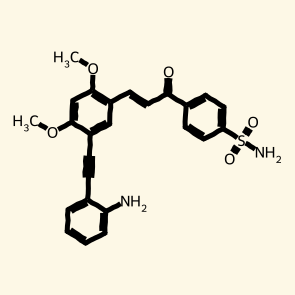 COc1cc(OC)c(C=CC(=O)c2ccc(S(N)(=O)=O)cc2)cc1C#Cc1ccccc1N